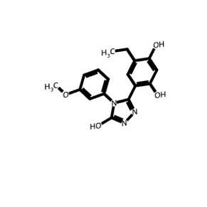 CCc1cc(-c2nnc(O)n2-c2cccc(OC)c2)c(O)cc1O